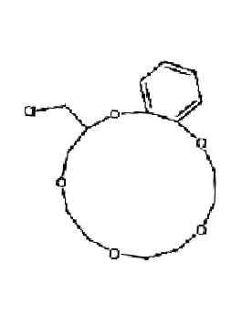 ClCC1COCCOCCOCCOc2ccccc2O1